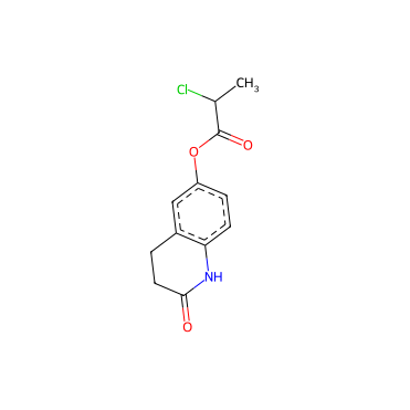 CC(Cl)C(=O)Oc1ccc2c(c1)CCC(=O)N2